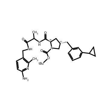 Cc1nc(N)ccc1CNC(=O)C(C)NC(=O)[C@H]1C[C@H](Cc2cccc(C3CC3)c2)CN1C(=O)OC(C)(C)C